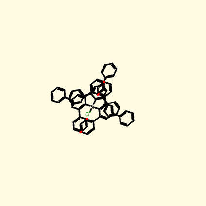 Cl[Si](c1c(-c2ccccc2)cc(-c2ccccc2)cc1-c1ccccc1)(c1c(-c2ccccc2)cc(-c2ccccc2)cc1-c1ccccc1)c1c(-c2ccccc2)cc(-c2ccccc2)cc1-c1ccccc1